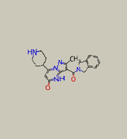 Cc1nn2c(C3CCNCC3)cc(=O)[nH]c2c1C(=O)N1Cc2ccccc2C1